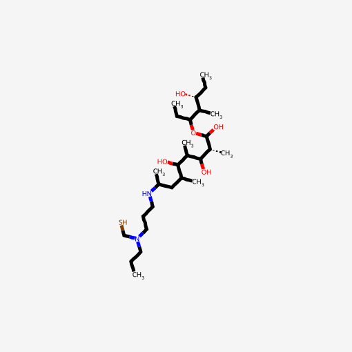 CCCN(CS)CCCNC(C)CC(C)C(O)C(C)C(O)[C@@H](C)C(O)OC(CC)C(C)[C@H](O)CC